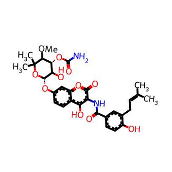 COC1[C@H](OC(N)=O)C(O)[C@H](Oc2ccc3c(O)c(NC(=O)c4ccc(O)c(CC=C(C)C)c4)c(=O)oc3c2)OC1(C)C